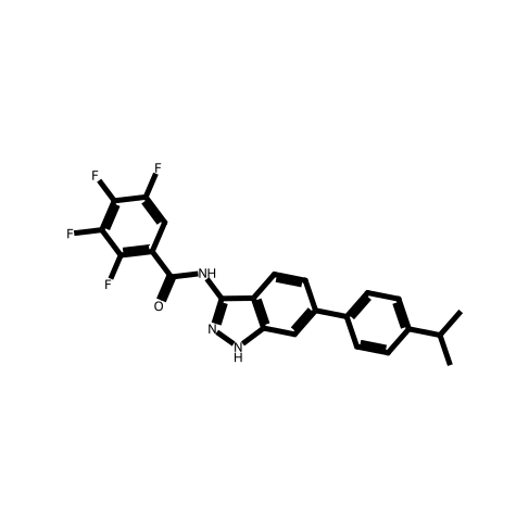 CC(C)c1ccc(-c2ccc3c(NC(=O)c4cc(F)c(F)c(F)c4F)n[nH]c3c2)cc1